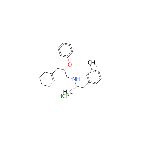 Cc1cccc(CC(C)NCC(CC2=CCCCC2)Oc2ccccc2)c1.Cl